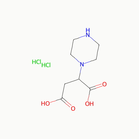 Cl.Cl.O=C(O)CC(C(=O)O)N1CCNCC1